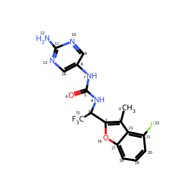 Cc1c(C(NC(=O)Nc2cnc(N)nc2)C(F)(F)F)oc2cccc(F)c12